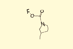 CC1CCN(C(=O)OF)C1